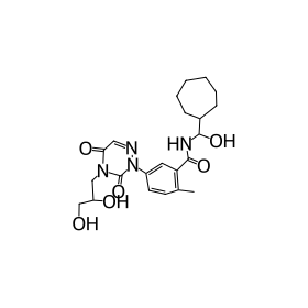 Cc1ccc(-n2ncc(=O)n(CC(O)CO)c2=O)cc1C(=O)NC(O)C1CCCCCC1